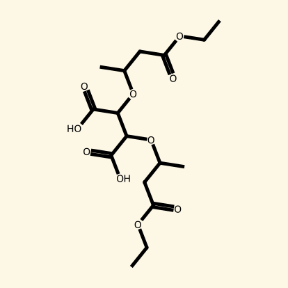 CCOC(=O)CC(C)OC(C(=O)O)C(OC(C)CC(=O)OCC)C(=O)O